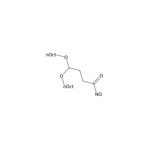 CCCCCCCCOC(CCC(=O)N=O)OCCCCCCCC